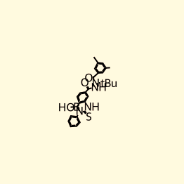 Cc1cc(C)cc(C(=O)N(NC(=O)c2ccc3c(c2)NC(=S)N(c2ccccc2)B3O)C(C)(C)C)c1